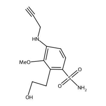 C#CCNc1ccc(S(N)(=O)=O)c(CCO)c1OC